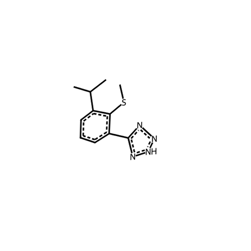 CSc1c(-c2nn[nH]n2)cccc1C(C)C